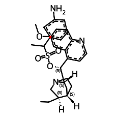 CC[C@H]1CN2CC[C@H]1C[C@H]2[C@H](OS(=O)(=O)C(C)c1cccc(N)c1)c1ccnc2ccc(OC)cc12